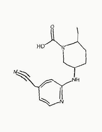 CC1CCC(Nc2cc(C#N)ccn2)CN1C(=O)O